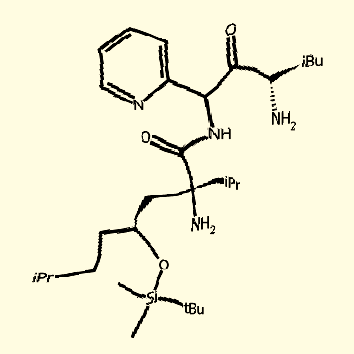 CC[C@H](C)[C@H](N)C(=O)C(NC(=O)[C@](N)(C[C@H](CCC(C)C)O[Si](C)(C)C(C)(C)C)C(C)C)c1ccccn1